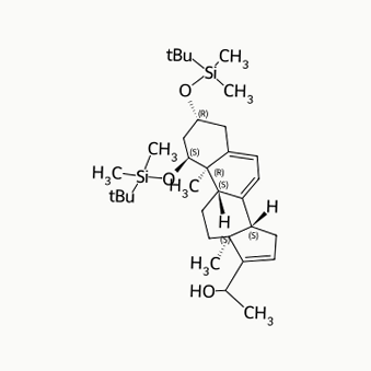 CC(O)C1=CC[C@H]2C3=CC=C4C[C@@H](O[Si](C)(C)C(C)(C)C)C[C@H](O[Si](C)(C)C(C)(C)C)[C@]4(C)[C@H]3CC[C@]12C